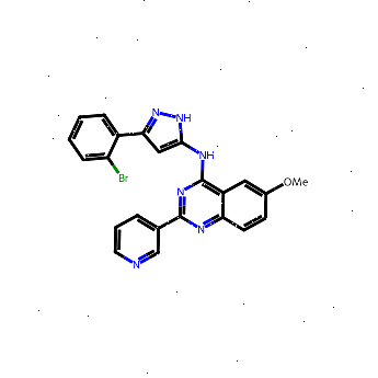 COc1ccc2nc(-c3cccnc3)nc(Nc3cc(-c4ccccc4Br)n[nH]3)c2c1